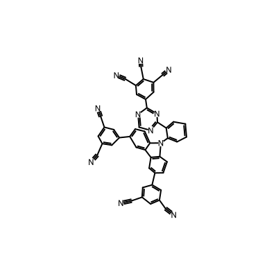 N#Cc1cc(C#N)cc(-c2ccc3c(c2)c2cc(-c4cc(C#N)cc(C#N)c4)ccc2n3-c2ccccc2-c2ncnc(-c3cc(C#N)c(C#N)c(C#N)c3)n2)c1